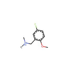 [CH2-][NH+](C)Cc1cc(F)ccc1OC